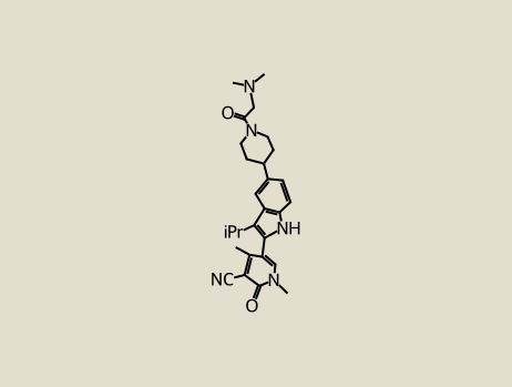 Cc1c(-c2[nH]c3ccc(C4CCN(C(=O)CN(C)C)CC4)cc3c2C(C)C)cn(C)c(=O)c1C#N